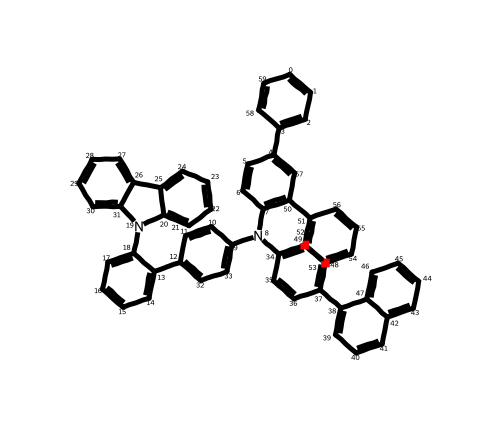 c1ccc(-c2ccc(N(c3ccc(-c4ccccc4-n4c5ccccc5c5ccccc54)cc3)c3ccc(-c4cccc5ccccc45)cc3)c(-c3ccccc3)c2)cc1